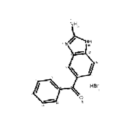 Br.Nc1nc2cc(C(=O)c3ccccc3)ccc2[nH]1